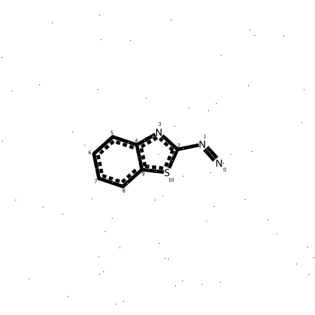 [N]=Nc1nc2ccccc2s1